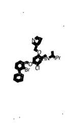 CC(C)C(C)NCc1cc(Cl)c(OCc2cccc(-c3ccccc3)c2Br)cc1OCc1cccnc1